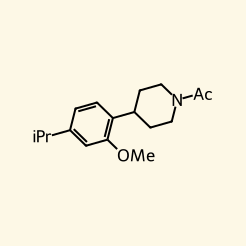 COc1cc(C(C)C)ccc1C1CCN(C(C)=O)CC1